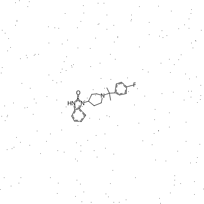 CC(C)(c1ccc(F)cc1)N1CCC(n2c(=O)[nH]c3ccccc32)CC1